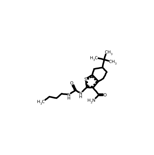 CCCCNC(=O)Nc1sc2c(c1C(N)=O)CCC(C(C)(C)C)C2